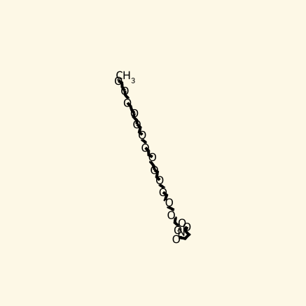 COCCOCCOCCOCCOCCOCCOCCOCCOCCOCCOCCOCCOCCC(=O)ON1C(=O)CCC1=O